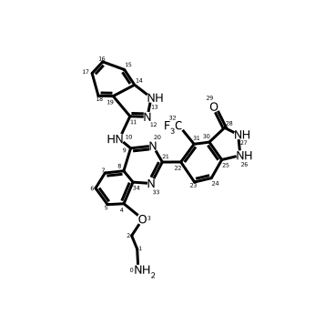 NCCOc1cccc2c(Nc3n[nH]c4ccccc34)nc(-c3ccc4[nH][nH]c(=O)c4c3C(F)(F)F)nc12